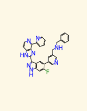 Fc1cc2[nH]nc(-c3nc4c(-c5ccccn5)nccc4[nH]3)c2cc1-c1cncc(CNCc2ccccc2)c1